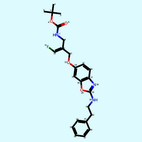 CC(C)(C)OC(=O)NCC(=CF)COc1ccc2nc(NCCc3ccccc3)oc2c1